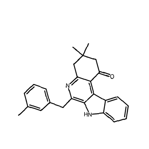 Cc1cccc(Cc2nc3c(c4c2[nH]c2ccccc24)C(=O)CC(C)(C)C3)c1